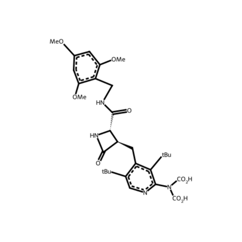 COc1cc(OC)c(CNC(=O)[C@H]2NC(=O)[C@@H]2Cc2c(C(C)(C)C)cnc(N(C(=O)O)C(=O)O)c2C(C)(C)C)c(OC)c1